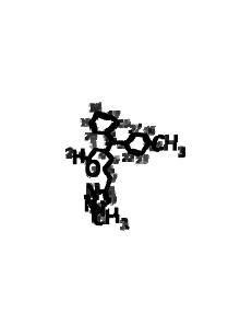 [2H]C(=O)CC(CCCc1cn(C)nn1)C(c1ccccc1)c1ccc(C)cc1